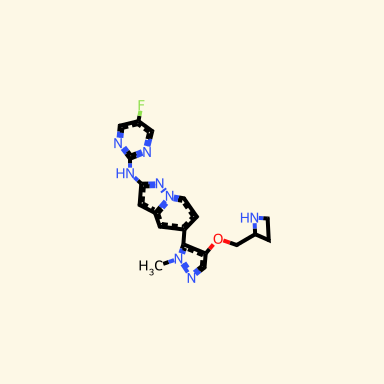 Cn1ncc(OCC2CCN2)c1-c1ccn2nc(Nc3ncc(F)cn3)cc2c1